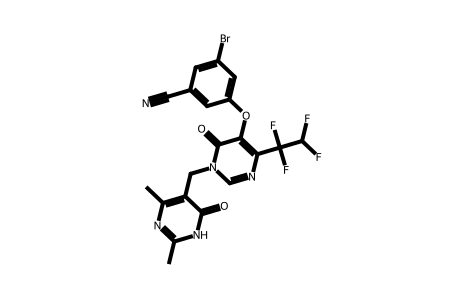 Cc1nc(C)c(Cn2cnc(C(F)(F)C(F)F)c(Oc3cc(Br)cc(C#N)c3)c2=O)c(=O)[nH]1